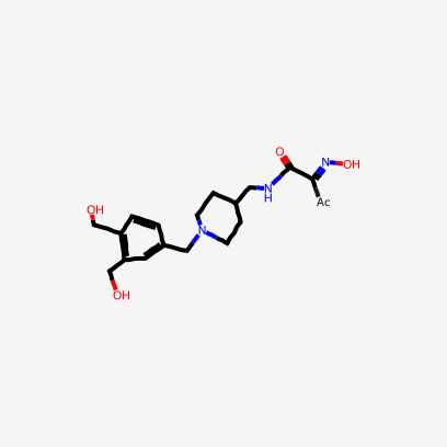 CC(=O)/C(=N\O)C(=O)NCC1CCN(Cc2ccc(CO)c(CO)c2)CC1